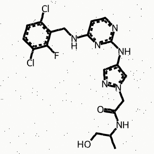 CC(CO)NC(=O)Cn1cc(Nc2nccc(NCc3c(Cl)ccc(Cl)c3F)n2)cn1